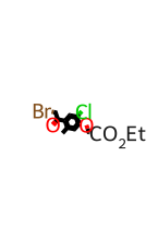 CCOC(=O)COc1cc(C)c(C(=O)CBr)cc1Cl